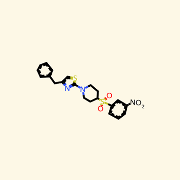 O=[N+]([O-])c1cccc(S(=O)(=O)C2CCN(c3nc(Cc4ccccc4)cs3)CC2)c1